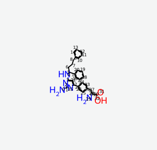 Nc1nc(NC(CCCc2ccccc2)c2ccccc2)cc(-c2ccc(C[C@H](N)C(=O)O)cc2)n1